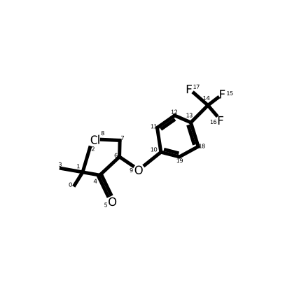 CC(C)(C)C(=O)C(CCl)Oc1ccc(C(F)(F)F)cc1